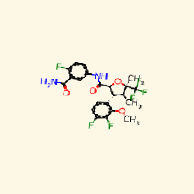 COc1c([C@@H]2[C@@H](C(=O)Nc3ccc(F)c(C(N)=O)c3)O[C@@](C)(C(F)(F)F)[C@H]2C)ccc(F)c1F